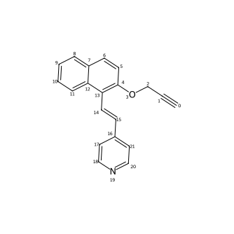 C#CCOc1ccc2ccccc2c1C=Cc1ccncc1